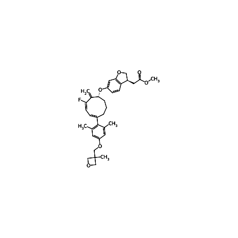 C=C1/C(F)=C\C=C(\c2c(C)cc(OCC3(C)COC3)cc2C)CCC[C@H]1Oc1ccc2c(c1)OC[C@H]2CC(=O)OC